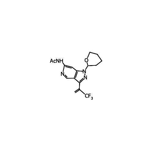 C=C(c1nn(C2CCCCO2)c2cc(NC(C)=O)ncc12)C(F)(F)F